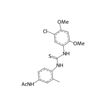 COc1cc(OC)c(NC(=S)Nc2ccc(NC(C)=O)cc2C)cc1Cl